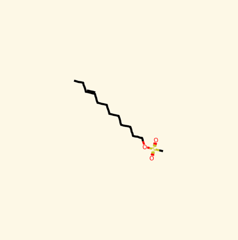 CCC=CCCCCCCCCOS(C)(=O)=O